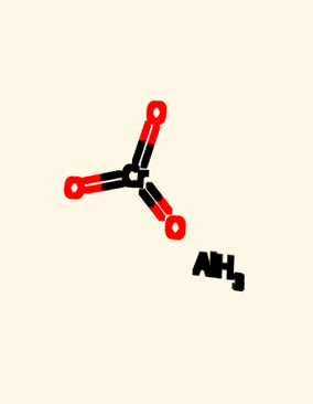 [AlH3].[O]=[Cr](=[O])=[O]